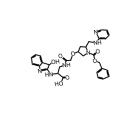 O=C(COC1CC(CNc2ccccn2)N(C(=O)OCc2ccccc2)C1)NCC(NC1=Nc2ccccc2C1O)C(=O)O